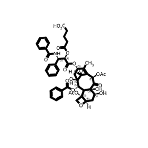 CC(=O)O[C@H]1C(=O)[C@@]2(C)C([C@H](OC(=O)c3ccccc3)[C@]3(O)C[C@H](OC(=O)[C@H](OC(=O)CCCC(=O)O)[C@@H](NC(=O)c4ccccc4)c4ccccc4)C(C)=C1C3(C)C)[C@]1(OC(C)=O)CO[C@@H]1C[C@@H]2O